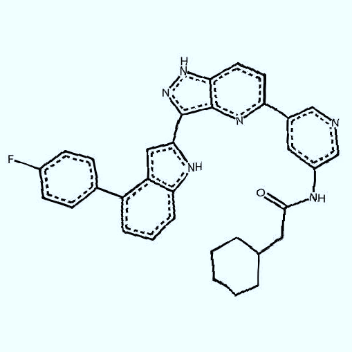 O=C(CC1CCCCC1)Nc1cncc(-c2ccc3[nH]nc(-c4cc5c(-c6ccc(F)cc6)cccc5[nH]4)c3n2)c1